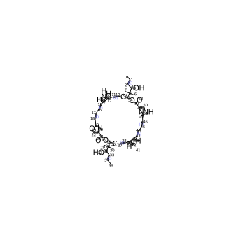 C/C=C/[C@H](O)C(C)(C)[C@@H]1C/C=C\[C@H]2N[C@H]2/C=C/C=C\c2nc(co2)C(=O)O[C@H](C(C)(C)[C@@H](O)/C=C/C)C/C=C\[C@H]2[C@@H](C)[C@H]2/C=C/C=C\c2nc(c[nH]2)C(=O)O1